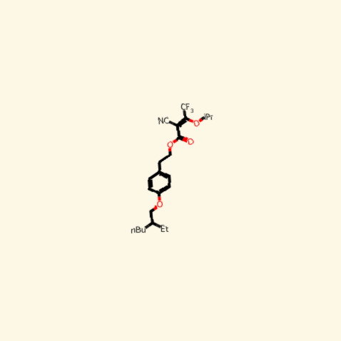 CCCCC(CC)COc1ccc(CCOC(=O)/C(C#N)=C(\OC(C)C)C(F)(F)F)cc1